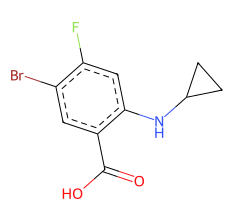 O=C(O)c1cc(Br)c(F)cc1NC1CC1